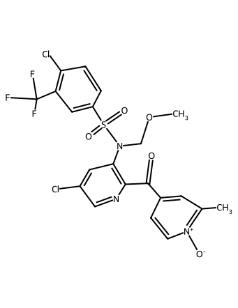 COCN(c1cc(Cl)cnc1C(=O)c1cc[n+]([O-])c(C)c1)S(=O)(=O)c1ccc(Cl)c(C(F)(F)F)c1